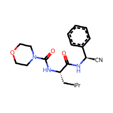 CC(C)C[C@H](NC(=O)N1CCOCC1)C(=O)N[C@H](C#N)c1ccccc1